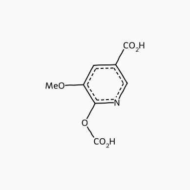 COc1cc(C(=O)O)cnc1OC(=O)O